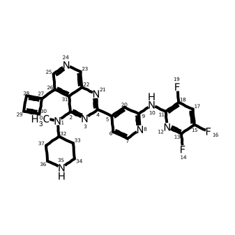 CN(c1nc(-c2ccnc(Nc3nc(F)c(F)cc3F)c2)nc2cncc(C3=CC=C3)c12)C1CCNCC1